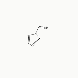 N=Cn1[c]ccc1